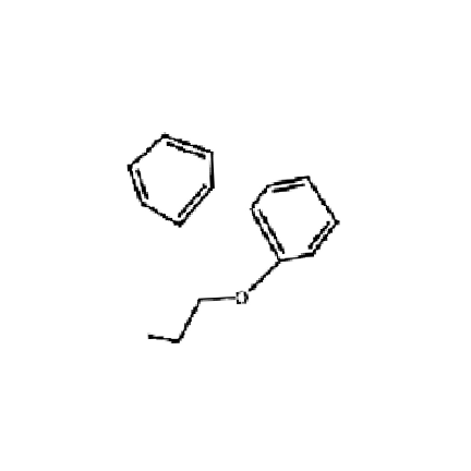 CCCOc1ccccc1.c1ccccc1